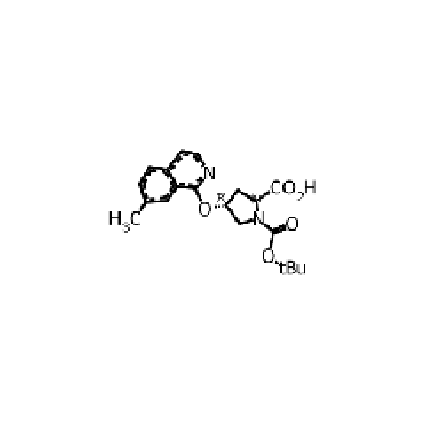 Cc1ccc2ccnc(O[C@@H]3C[C@@H](C(=O)O)N(C(=O)OC(C)(C)C)C3)c2c1